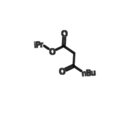 CCCCC(=O)CC(=O)OC(C)C